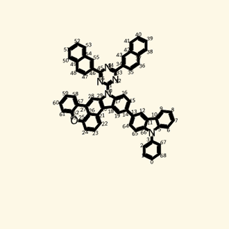 c1ccc(-n2c3ccccc3c3cc(-c4ccc5c(c4)c4c6cccc7c6c(cc4n5-c4nc(-c5ccc6ccccc6c5)nc(-c5ccc6ccccc6c5)n4)-c4ccccc4O7)ccc32)cc1